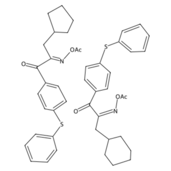 CC(=O)ON=C(CC1CCCC1)C(=O)c1ccc(Sc2ccccc2)cc1.CC(=O)ON=C(CC1CCCCC1)C(=O)c1ccc(Sc2ccccc2)cc1